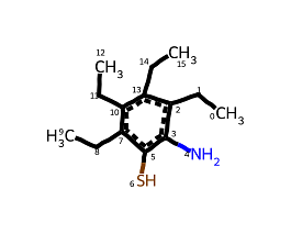 CCc1c(N)c(S)c(CC)c(CC)c1CC